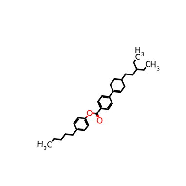 CCCCCc1ccc(OC(=O)c2ccc(C3=CCC(CCC(CC)CC)CC3)cc2)cc1